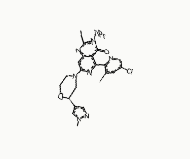 CCCn1c(C)nc2cc(N3CCO[C@H](c4cnn(C)c4)C3)nc(-c3ncc(Cl)cc3C)c2c1=O